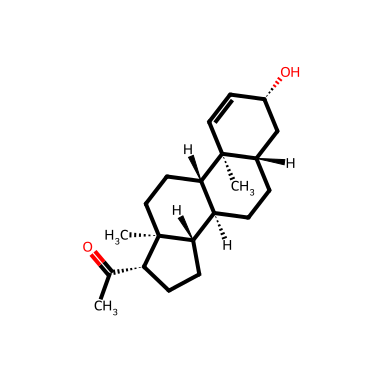 CC(=O)[C@H]1CC[C@H]2[C@@H]3CC[C@H]4C[C@@H](O)C=C[C@]4(C)[C@H]3CC[C@]12C